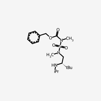 CC(C)N[C@H](CN(C)S(=O)(=O)N(C)C(=O)OCc1ccccc1)C(C)(C)C